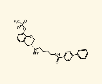 CCCN(CCCCNC(=O)c1ccc(-c2ccccc2)cc1)[C@H]1COc2c(cccc2OS(=O)(=O)C(F)(F)F)C1